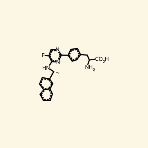 C[C@@H](Nc1nc(-c2ccc(CC(N)C(=O)O)cc2)ncc1F)c1ccc2ccccc2c1